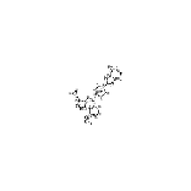 Fc1cccc2sc(C34CCC(OCc5c(-c6ccccc6OC(F)(F)F)noc5C5CC5)(CC3)CC4)nc12